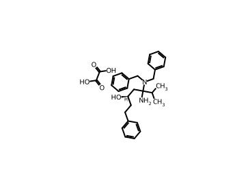 CC(C)C(N)(C[C@H](O)CCc1ccccc1)N(Cc1ccccc1)Cc1ccccc1.O=C(O)C(=O)O